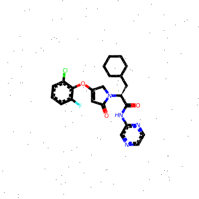 O=C(Nc1cnccn1)[C@H](CC1CCCCC1)N1CC(Oc2c(F)cccc2Cl)=CC1=O